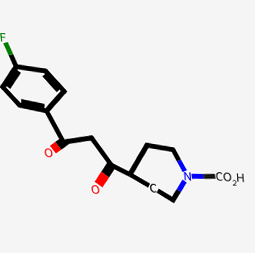 O=C(CC(=O)C1CCN(C(=O)O)CC1)c1ccc(F)cc1